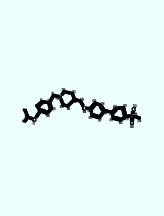 CC(C)Oc1ccc(CN2CCC(COc3ccc(-c4ccc(S(C)(=O)=O)cc4)cc3)CC2)cc1